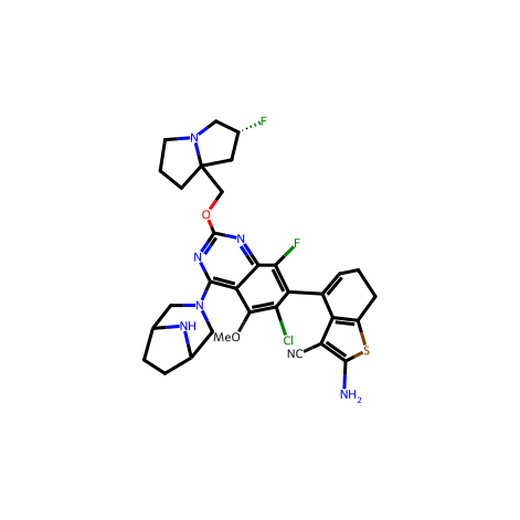 COc1c(Cl)c(C2=CCCc3sc(N)c(C#N)c32)c(F)c2nc(OCC34CCCN3C[C@H](F)C4)nc(N3CC4CCC(C3)N4)c12